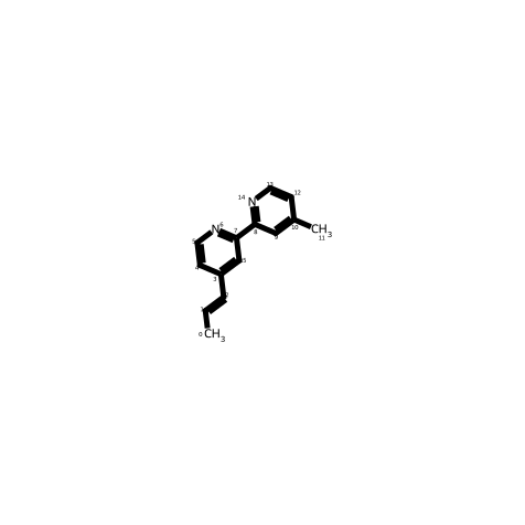 C/C=C/c1ccnc(-c2cc(C)ccn2)c1